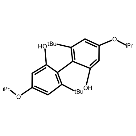 CC(C)Oc1cc(O)c(-c2c(O)cc(OC(C)C)cc2C(C)(C)C)c(C(C)(C)C)c1